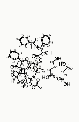 CC(=O)O[C@H]1C(=O)[C@@]2(C)[C@H]([C@H](OC(=O)c3ccccc3)[C@]3(O)C[C@H](OC(=O)[C@H](O)[C@@H](NC(=O)c4ccccc4)c4ccccc4)C(C)=C1C3(C)C)[C@]1(OC(C)=O)CO[C@@H]1C[C@@H]2O.NCCCC(=O)O.O=C(O)CCC(=O)O